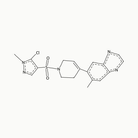 Cc1cc2nccnc2cc1C1=CCN(S(=O)(=O)c2cnn(C)c2Cl)CC1